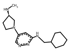 CN[C@@H]1CCN(c2cnnc(NCC3CCCCC3)c2)C1